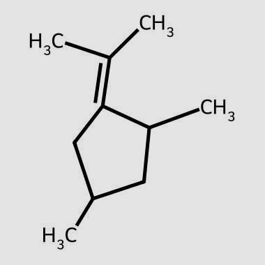 CC(C)=C1CC(C)CC1C